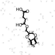 O=C(O)CCC(O)OCC1COc2cscc2O1